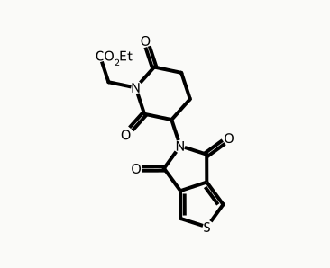 CCOC(=O)CN1C(=O)CCC(N2C(=O)c3cscc3C2=O)C1=O